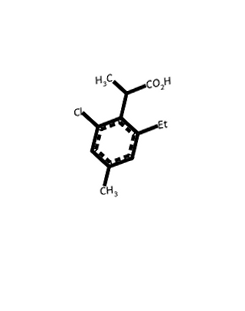 CCc1cc(C)cc(Cl)c1C(C)C(=O)O